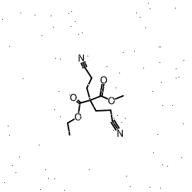 CCOC(=O)C(CCC#N)(CCC#N)C(=O)OC